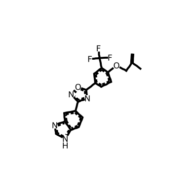 C=C(C)COc1ccc(-c2nc(-c3ccc4[nH]cnc4c3)no2)cc1C(F)(F)F